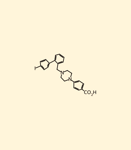 O=C(O)c1ccc(N2CCN(Cc3ccccc3-c3ccc(I)cc3)CC2)cc1